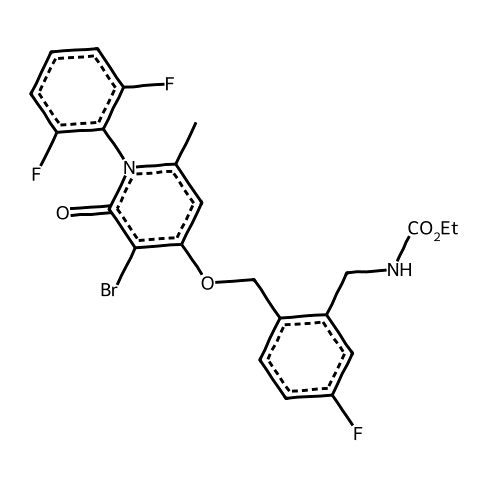 CCOC(=O)NCc1cc(F)ccc1COc1cc(C)n(-c2c(F)cccc2F)c(=O)c1Br